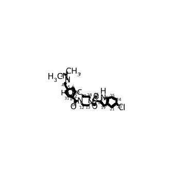 CN(C)N=Cc1ccc(C(=O)N2CCN(S(=O)(=O)c3cc4cc(Cl)ccc4[nH]3)CC2C(=O)O)cc1